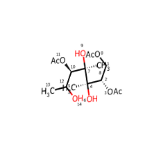 CC(=O)OC[C@H](OC(C)=O)[C@@](C)(O)[C@](C)(O)[C@H](OC(C)=O)C(C)O